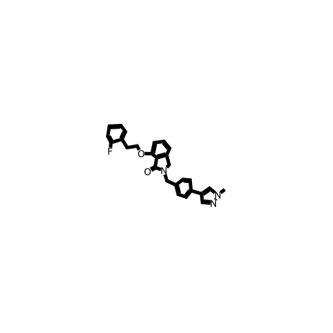 Cn1cc(-c2ccc(CN3Cc4cccc(OCCc5ccccc5F)c4C3=O)cc2)cn1